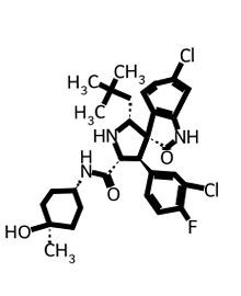 CC(C)(C)C[C@H]1N[C@@H](C(=O)N[C@H]2CC[C@](C)(O)CC2)[C@H](c2ccc(F)c(Cl)c2)[C@@]12C(=O)Nc1cc(Cl)ccc12